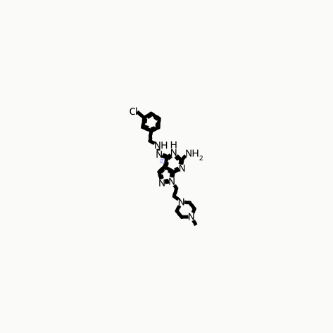 CN1CCN(CCn2ncc3/c(=N/NCc4cccc(Cl)c4)[nH]c(N)nc32)CC1